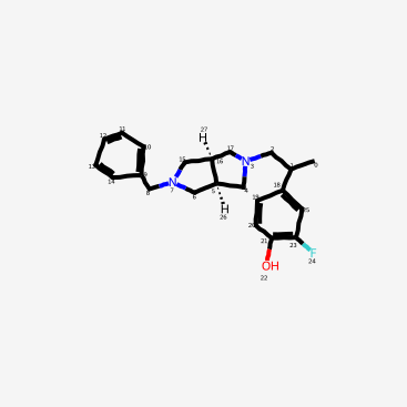 CC(CN1C[C@H]2CN(Cc3ccccc3)C[C@H]2C1)c1ccc(O)c(F)c1